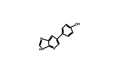 Oc1ccc(-c2cnc3[nH]cnc3c2)cc1